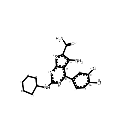 NC(=O)c1sc2nc(NC3CCCCC3)nc(-c3ccc(Cl)c(Cl)c3)c2c1N